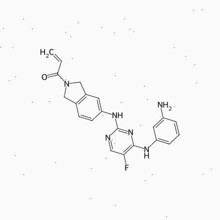 C=CC(=O)N1Cc2ccc(Nc3ncc(F)c(Nc4cccc(N)c4)n3)cc2C1